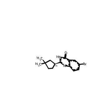 CC1(C)CC[C@H](c2nc3ccc(Br)cc3c(=O)[nH]2)C1